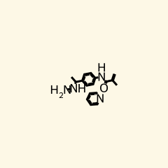 C=C(C)C(=O)Nc1ccc(C(C)NN)cc1.c1ccncc1